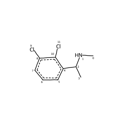 CNC(C)c1cccc(Cl)c1Cl